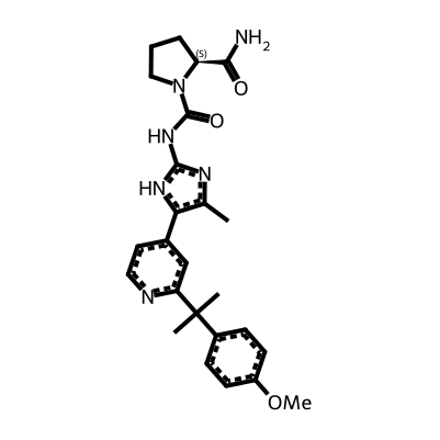 COc1ccc(C(C)(C)c2cc(-c3[nH]c(NC(=O)N4CCC[C@H]4C(N)=O)nc3C)ccn2)cc1